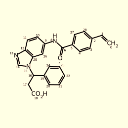 C=Cc1ccc(C(=O)Nc2ccc3ncn(C(CC(=O)O)c4ccccc4)c3c2)cc1